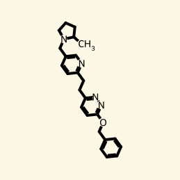 CC1CCCN1Cc1ccc(CCc2ccc(OCc3ccccc3)nn2)nc1